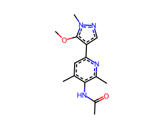 COc1c(-c2cc(C)c(NC(C)=O)c(C)n2)cnn1C